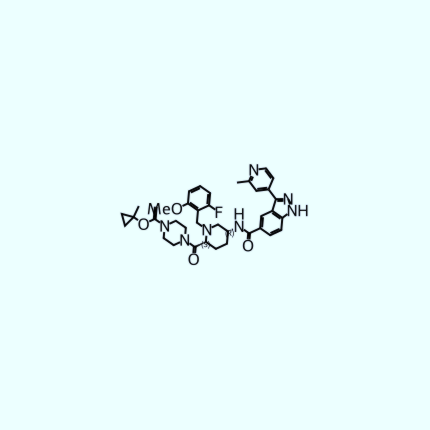 C=C(OC1(C)CC1)N1CCN(C(=O)[C@@H]2CC[C@@H](NC(=O)c3ccc4[nH]nc(-c5ccnc(C)c5)c4c3)CN2Cc2c(F)cccc2OC)CC1